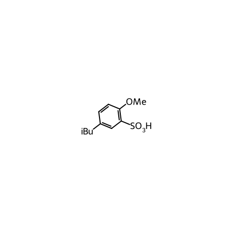 CCC(C)c1ccc(OC)c(S(=O)(=O)O)c1